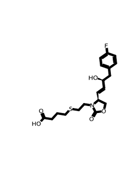 O=C(O)CCCSCCN1C(=O)OC[C@@H]1/C=C/[C@@H](O)Cc1ccc(F)cc1